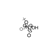 CC(C)(C)c1ccc(CN(C(=O)CC2CCCC2)c2cc(-c3ccccc3)sc2C(=O)O)cc1